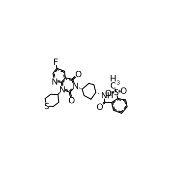 CS(=O)(=O)c1ccccc1C(=O)N[C@H]1CC[C@@H](n2c(=O)c3cc(F)cnc3n(C3CCSCC3)c2=O)CC1